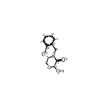 O=C1C(O)OCCN1Cc1ccccc1Cl